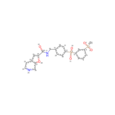 CCS(=O)(=O)c1cccc(S(=O)(=O)c2ccc(CNC(=O)c3cc4ccncc4o3)cc2)c1